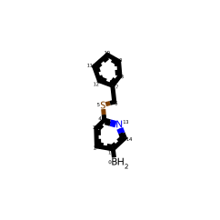 Bc1ccc(SCc2ccccc2)nc1